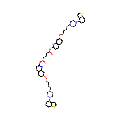 O=C(CCCC(=O)Oc1ccc2ccc(OCCCCN3CCN(c4cccc5sccc45)CC3)cc2n1)Oc1ccc2ccc(OCCCCN3CCN(c4cccc5sccc45)CC3)cc2n1